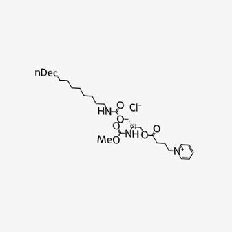 CCCCCCCCCCCCCCCCCCNC(=O)OC[C@H](COC(=O)CCC[n+]1ccccc1)NC(=O)OC.[Cl-]